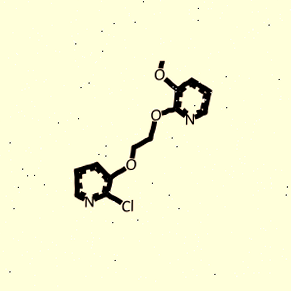 COc1cccnc1OCCOc1cccnc1Cl